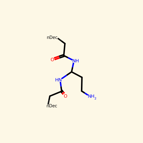 CCCCCCCCCCCC(=O)NC(CCN)NC(=O)CCCCCCCCCCC